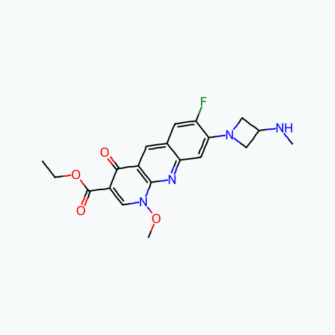 CCOC(=O)c1cn(OC)c2nc3cc(N4CC(NC)C4)c(F)cc3cc2c1=O